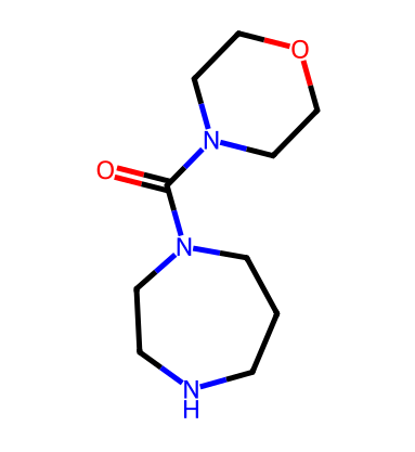 O=C(N1CCCNCC1)N1CCOCC1